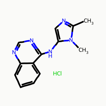 Cc1ncc(Nc2ncnc3ccccc23)n1C.Cl